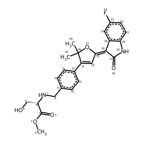 COC(=O)[C@H](CO)NCc1ccc(C2=C/C(=C3\C(=O)Nc4ccc(F)cc43)OC2(C)C)cc1